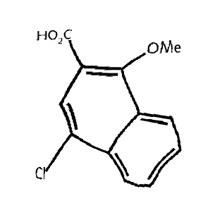 COc1c(C(=O)O)cc(Cl)c2ccccc12